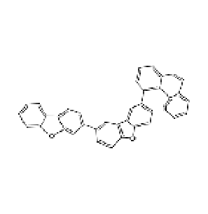 c1cnc2c(c1)ccc1cccc(-c3ccc4oc5ccc(-c6ccc7c(c6)oc6ccccc67)cc5c4c3)c12